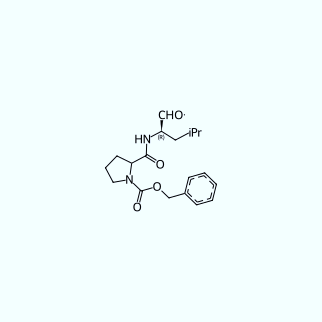 CC(C)C[C@H]([C]=O)NC(=O)C1CCCN1C(=O)OCc1ccccc1